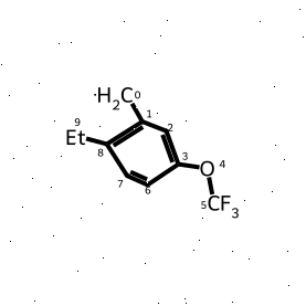 [CH2]c1cc(OC(F)(F)F)ccc1CC